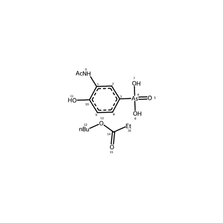 CC(=O)Nc1cc([As](=O)(O)O)ccc1O.CCCCOC(=O)CC